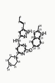 C/C=C/c1cc(Nc2cc(N3CCN(C)CC3)nc(Oc3ccc4[nH]c(C)cc4c3)n2)n[nH]1